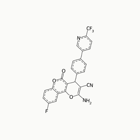 N#CC1=C(N)Oc2c(c(=O)oc3ccc(F)cc23)C1c1ccc(-c2ccc(C(F)(F)F)nc2)cc1